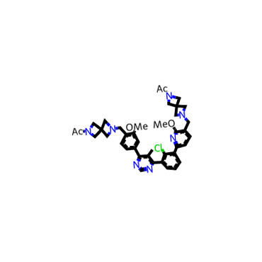 COc1cc(-c2ncnc(-c3cccc(-c4ccc(CN5CC6(C5)CN(C(C)=O)C6)c(OC)n4)c3Cl)c2C)ccc1CN1CC2(C1)CN(C(C)=O)C2